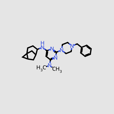 CN(C)c1cc(NC2CCC34CC2CC3C4)nc(N2CCN(Cc3ccccc3)CC2)n1